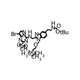 CC(C)(C)OC(=O)NCCc1ccc2c(c1)nc(CNc1nc(S(C)(=O)=O)nc3c(Br)cnn13)n2COCC[Si](C)(C)C